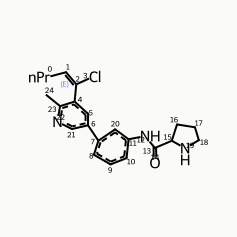 CCC/C=C(/Cl)c1cc(-c2cccc(NC(=O)C3CCCN3)c2)cnc1C